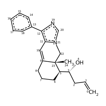 C=CC[C@@H](O)[C@H]1CCCC2=Cc3c(-c4ccccc4)ncn3C[C@@]21C